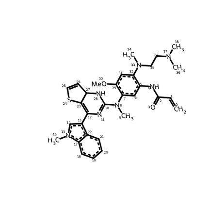 C=CC(=O)Nc1cc(N(C)C2=NC(c3cn(C)c4ccccc34)=C3SC=CC3N2)c(OC)cc1N(C)CCN(C)C